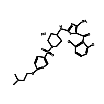 CN(C)CCOc1ccc(S(=O)(=O)N2CCC(Nc3nc(N)c(C(=O)c4c(Cl)cccc4Cl)s3)CC2)cn1.Cl